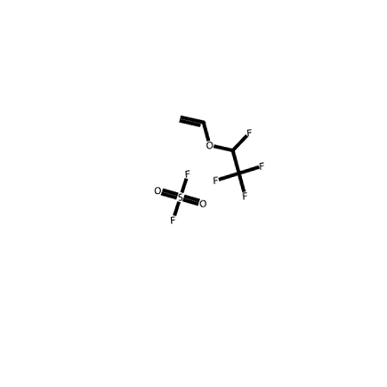 C=COC(F)C(F)(F)F.O=S(=O)(F)F